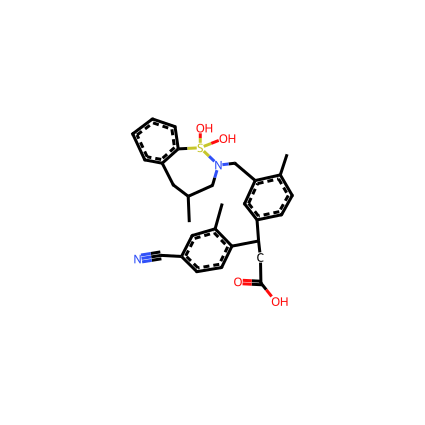 Cc1ccc(C(CC(=O)O)c2ccc(C#N)cc2C)cc1CN1CC(C)Cc2ccccc2S1(O)O